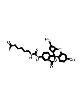 O=C(I)CCCCCNC(=S)Nc1ccc2c(c1)C(=O)OC21c2ccc(O)cc2Oc2cc(O)ccc21